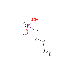 C=CCCCP(C)(=O)O